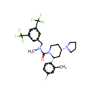 Cc1cc(F)ccc1[C@H]1C[C@@H](N2CCCC2)CCN1C(=O)N(C)Cc1cc(C(F)(F)F)cc(C(F)(F)F)c1